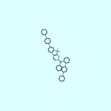 CC1(C)C2=C(C=CC(N(c3ccccc3)c3ccccc3-c3ccc(-c4ccccc4)cc3)C2)c2ccc(-c3ccc(-c4ccccc4)cc3)cc21